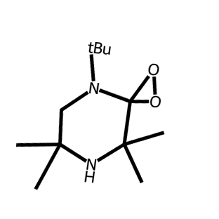 CC1(C)CN(C(C)(C)C)C2(OO2)C(C)(C)N1